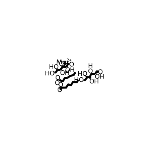 CCCCCCC(=O)[O-].CCCCCCC(=O)[O-].O=CC(O)C(O)C(O)C(O)CO.O=CC(O)C(O)C(O)C(O)CO.[Mg+2]